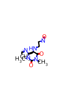 C/C=N\c1c(NCCN=O)c(=O)n(C)c(=O)n1C